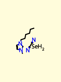 CCCCCCN1C=CN(C)C1.N#CC#N.[SeH2]